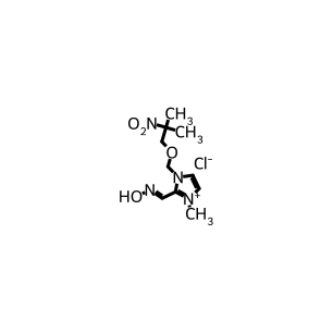 C[n+]1ccn(COCC(C)(C)[N+](=O)[O-])c1C=NO.[Cl-]